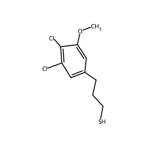 COc1cc(CCCS)cc(Cl)c1Cl